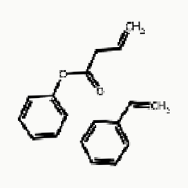 C=CCC(=O)Oc1ccccc1.C=Cc1ccccc1